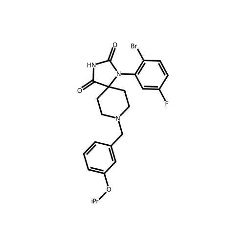 CC(C)Oc1cccc(CN2CCC3(CC2)C(=O)NC(=O)N3c2cc(F)ccc2Br)c1